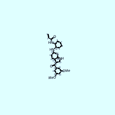 C=CC(=O)Nc1ccccc1Nc1ccc2c(C(=O)c3cc(OC)cc(OC)c3)c[nH]c2n1